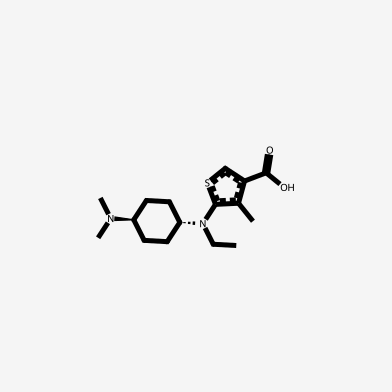 CCN(c1scc(C(=O)O)c1C)[C@H]1CC[C@H](N(C)C)CC1